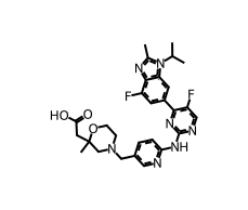 Cc1nc2c(F)cc(-c3nc(Nc4ccc(CN5CCOC(C)(CC(=O)O)C5)cn4)ncc3F)cc2n1C(C)C